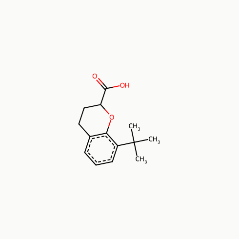 CC(C)(C)c1cccc2c1OC(C(=O)O)CC2